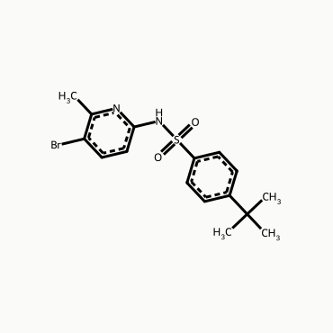 Cc1nc(NS(=O)(=O)c2ccc(C(C)(C)C)cc2)ccc1Br